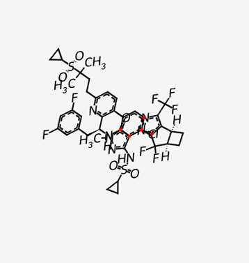 Cn1nc(NS(=O)(=O)C2CC2)c2c(Cl)ccc(-c3ccc(CCC(C)(C)S(=O)(=O)C4CC4)nc3[C@H](Cc3cc(F)cc(F)c3)NC(=O)Cn3nc(C(F)(F)F)c4c3C(F)(F)[C@@H]3CC[C@H]43)c21